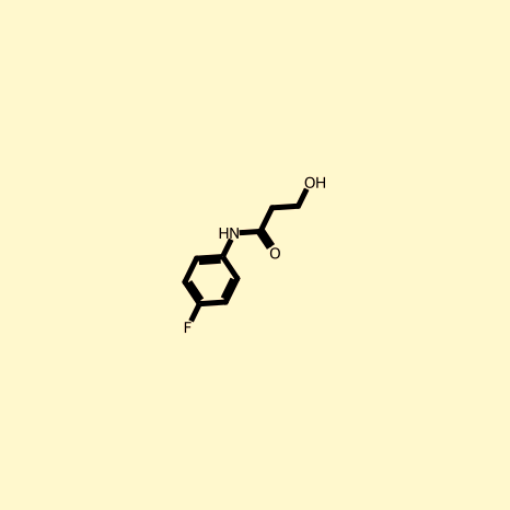 O=C(CCO)Nc1ccc(F)cc1